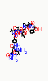 CC[C@H](C)[C@@H]([C@@H](CC(=O)N1CCC[C@H]1[C@H](OC)[C@@H](C)C(=O)N[C@H](C)[C@@H](O)c1ccccc1)OC)N(C)C(=O)[C@@H](NC(=O)[C@H](C(C)C)N(C)C(O)OCc1ccc(NC(=O)[C@H](CCCNC(N)=O)NC(=O)[C@@H](N)C(C)C)cc1)C(C)C